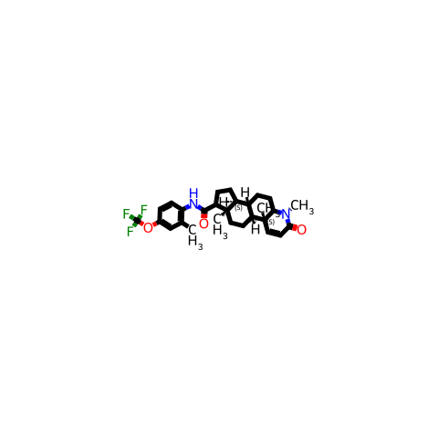 Cc1cc(OC(F)(F)F)ccc1NC(=O)C1CC[C@H]2[C@@H]3CCC4N(C)C(=O)C=C[C@]4(C)[C@@H]3CC[C@]12C